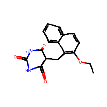 CCOc1ccc2ccccc2c1CC1C(=O)NC(=O)NC1=O